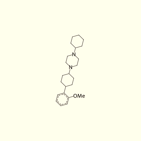 COc1ccccc1C1CCC(N2CCN(C3CCCCC3)CC2)CC1